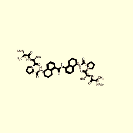 CN[C@@H](C)C(=O)N[C@H](C(=O)N1CCC[C@H]1C(=O)N[C@@H]1CCCc2c(NC(=O)c3cccc4c3CCC[C@H]4NC(=O)[C@@H]3CCCN3C(=O)[C@@H](NC(=O)[C@H](C)NC)C(C)(C)C)cccc21)C(C)(C)C